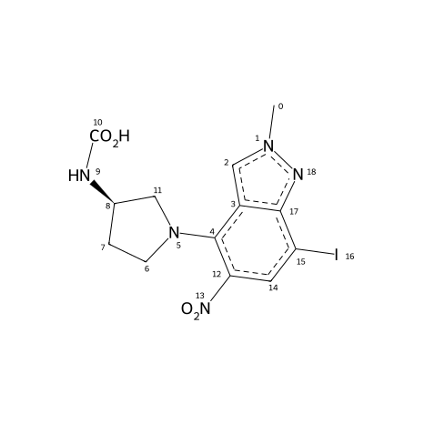 Cn1cc2c(N3CC[C@@H](NC(=O)O)C3)c([N+](=O)[O-])cc(I)c2n1